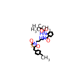 CCc1ccc(C=C2SC(=O)N(CCCCNC(=O)c3ccccc3NC(=O)OC(C)(C)C)C2=O)cc1